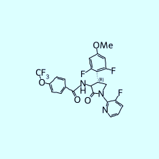 COc1cc(F)c([C@@H]2CN(c3ncccc3F)C(=O)C2NC(=O)c2ccc(OC(F)(F)F)cc2)c(F)c1